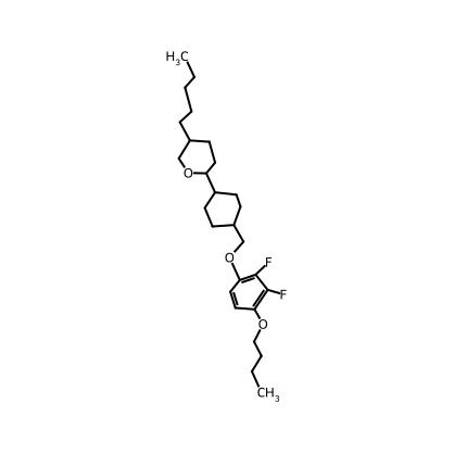 CCCCCC1CCC(C2CCC(COc3ccc(OCCCC)c(F)c3F)CC2)OC1